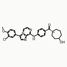 COc1ccc(-c2cnc3c(Nc4ccc(C(=O)[C@H]5CCCC(O)CC5)cc4)nccn23)cc1Cl